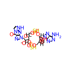 CO[C@@H]1[C@@H]2OP(=O)(S)OC[C@H]3O[C@@H](n4cnc5c(N)ncnc54)[C@H](OP(=O)(S)OC[C@H]2O[C@H]1n1cnc2c(=O)n4cc[nH]c4nc21)[C@@H]3O